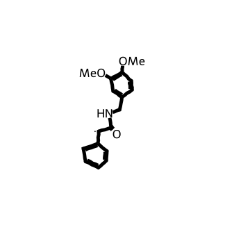 COc1ccc(CNC(=O)[CH]c2ccccc2)cc1OC